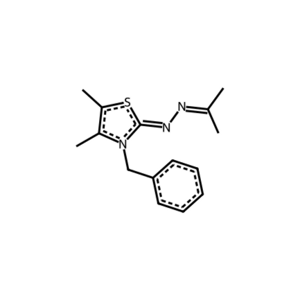 CC(C)=NN=c1sc(C)c(C)n1Cc1ccccc1